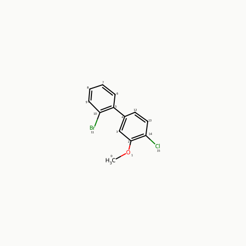 COc1cc(-c2ccc[c]c2Br)ccc1Cl